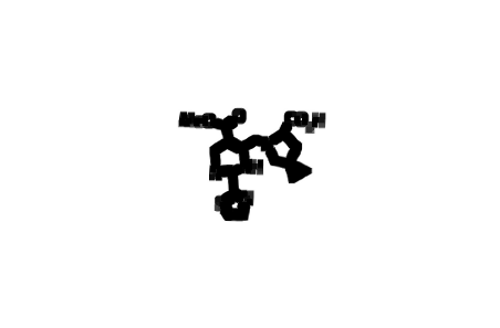 COC(=O)C1=C(CN2CC3(CC3)CC2C(=O)O)NC(c2nccs2)=NC1